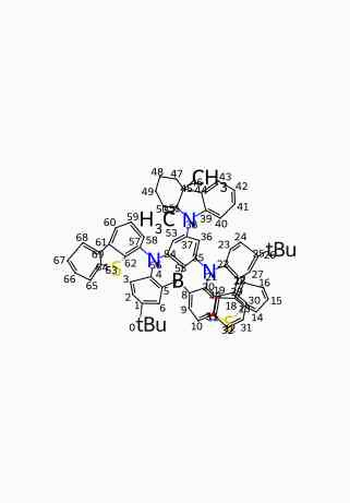 CC(C)(C)c1ccc2c(c1)B1c3ccc4sc5ccccc5c4c3N(c3ccc(C(C)(C)C)cc3-c3ccccc3)c3cc(N4c5ccccc5C5(C)CCCCC45C)cc(c31)N2c1cccc2c1sc1ccccc12